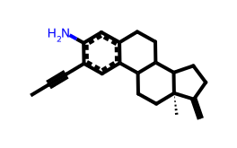 C=C1CCC2C3CCc4cc(N)c(C#CC)cc4C3CC[C@]12C